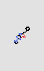 O=C(CCc1ccccc1)Nc1cnc(-n2cccn2)nc1O